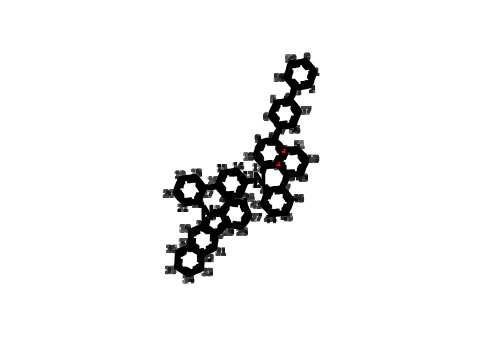 c1ccc(-c2ccc(-c3ccc(N(c4ccc(-c5ccccc5-n5c6ccccc6c6cc7ccccc7cc65)cc4)c4ccccc4-c4ccccc4)cc3)cc2)cc1